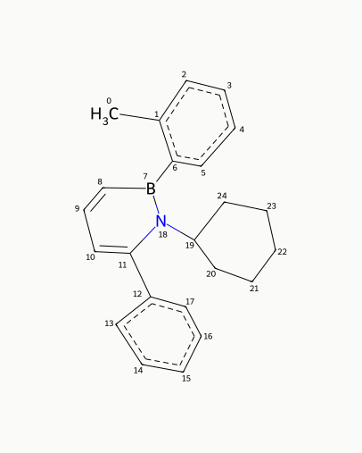 Cc1ccccc1B1C=CC=C(c2ccccc2)N1C1CCCCC1